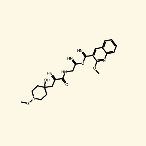 COc1nc2ccccc2cc1C(=N)OC(=N)CNC(=O)C(=N)CC1(O)CCN(SC)CC1